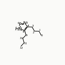 CCCCc1np[nH]c1CCCC